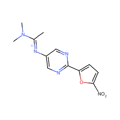 C/C(=N\c1cnc(-c2ccc([N+](=O)[O-])o2)nc1)N(C)C